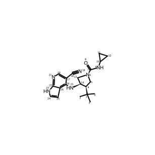 CC(C)(C)[C@@H]1CN(C(=O)NC2CC2)C[C@@H]1Nc1c(C#N)cnc2[nH]ccc12